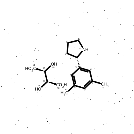 Cc1cc(C)cc([C@@H]2CCCN2)c1.O=C(O)[C@@H](O)[C@H](O)C(=O)O